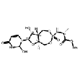 CCCCOC(=O)[C@@H](C)NP1(=O)OC[C@H]2[C@@H](O)[C@H](N3C=CC(=O)NC3O)O[C@@H]2CO1